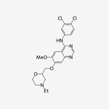 CCN1CCOC(COc2cc3ncnc(Nc4ccc(Cl)c(Cl)c4)c3cc2OC)C1